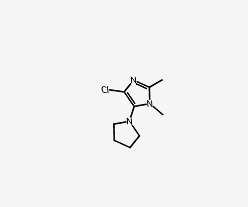 Cc1nc(Cl)c(N2CCCC2)n1C